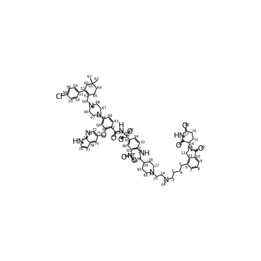 CN(CCCCc1cccc2c1CN(C1CCC(=O)NC1=O)C2=O)CCN1CCC(CNc2ccc(S(=O)(=O)NC(=O)c3ccc(N4CCN(CC5=C(c6ccc(Cl)cc6)CC(C)(C)CC5)CC4)cc3Oc3cnc4[nH]ccc4c3)cc2[N+](=O)[O-])CC1